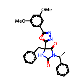 COc1cc(OC)cc(-c2nnc([C@@]3(Cc4ccccc4)NC(=O)N([C@H](C)c4ccccc4)C3=O)o2)c1